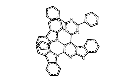 c1ccc(-c2nc(-c3ccccc3)nc(-c3c(-n4c5ccccc5c5ccccc54)c(-n4c5ccccc5c5ccccc54)nc4oc5ccccc5c34)n2)cc1